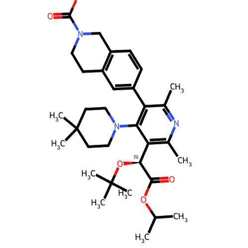 Cc1nc(C)c([C@H](OC(C)(C)C)C(=O)OC(C)C)c(N2CCC(C)(C)CC2)c1-c1ccc2c(c1)CCN(C(=O)O)C2